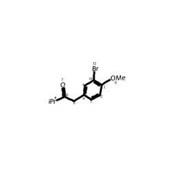 COc1ccc(CC(=O)C(C)C)cc1Br